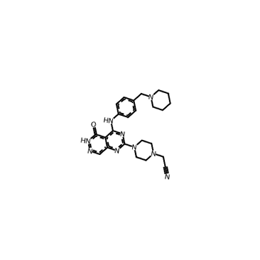 N#CCN1CCN(c2nc(Nc3ccc(CN4CCCCC4)cc3)c3c(=O)[nH]ncc3n2)CC1